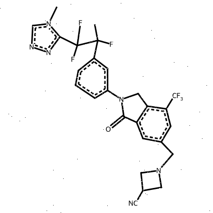 Cn1cnnc1C(F)(F)C(C)(F)c1cccc(N2Cc3c(cc(CN4CC(C#N)C4)cc3C(F)(F)F)C2=O)c1